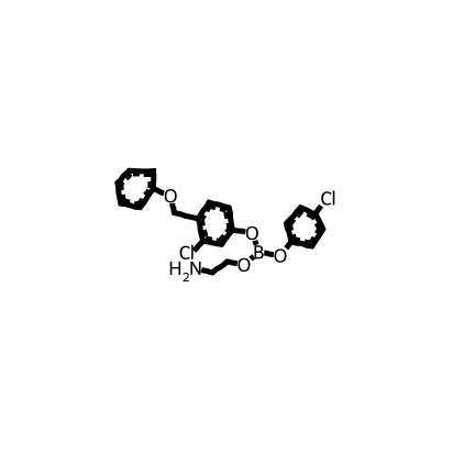 NCCOB(Oc1ccc(Cl)cc1)Oc1ccc(COc2ccccc2)c(Cl)c1